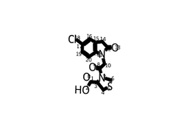 O=C(O)C1CSCN1C(=O)CN1C(=O)Cc2cc(Cl)ccc21